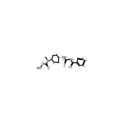 CN(C(=O)OC(C)(C)C)[C@H]1CC[C@H](NC(=S)NC(=O)c2ccccc2)CC1